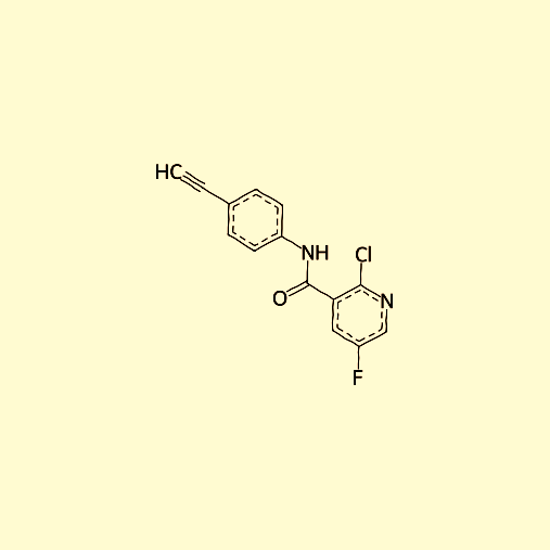 C#Cc1ccc(NC(=O)c2cc(F)cnc2Cl)cc1